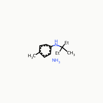 CCC(C)(CC)Nc1ccc(C)cc1.N